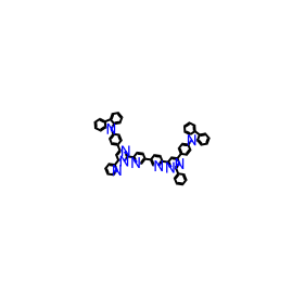 c1ccc(-c2nc(-c3ccc(-n4c5ccccc5c5ccccc54)cc3)cc(-c3ccc(-c4ccc(-c5nc(-c6ccc(-n7c8ccccc8c8ccccc87)cc6)cc(-c6ccccn6)n5)nc4)cn3)n2)cc1